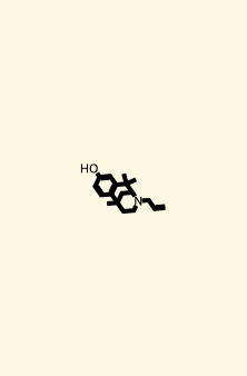 C=CCN1CCC2(C)CC1C(C)(C)c1cc(O)ccc12